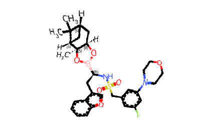 CC1(C)[C@@H]2C[C@H]3OB([C@H](Cc4coc5ccccc45)NS(=O)(=O)Cc4cc(F)cc(N5CCOCC5)c4)O[C@@]3(C)[C@H]1C2